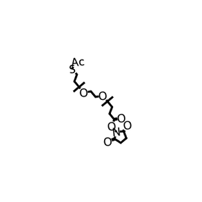 CC(=O)SCCC(C)(C)OCCOC(C)(C)CCC(=O)ON1C(=O)CCC1=O